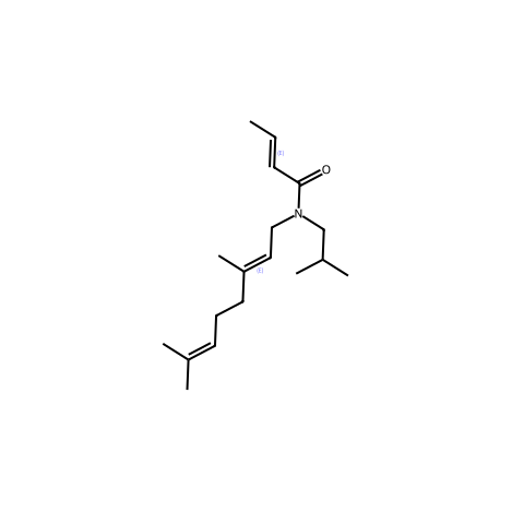 C/C=C/C(=O)N(C/C=C(\C)CCC=C(C)C)CC(C)C